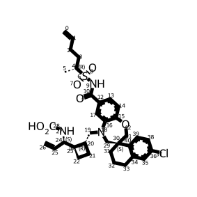 C=CCC[C@@H](C)S(=O)(=O)NC(=O)c1ccc2c(c1)N(C[C@@H]1CC[C@H]1[C@H](C=C)NC(=O)O)C[C@@]1(CCCc3cc(Cl)ccc31)CO2